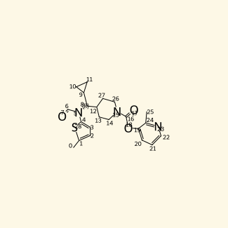 Cc1ccc(N(C=O)[C@H](C2CC2)C2CCN(C(=O)Oc3cccnc3C)CC2)s1